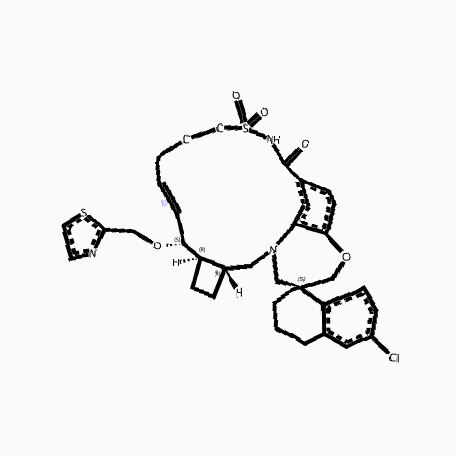 O=C1NS(=O)(=O)CCC/C=C/[C@@H](OCc2nccs2)[C@@H]2CC[C@H]2CN2C[C@@]3(CCCc4cc(Cl)ccc43)COc3ccc1cc32